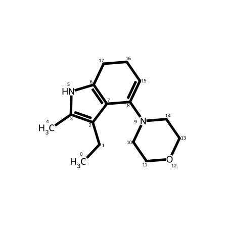 CCc1c(C)[nH]c2c1C(N1CCOCC1)=CCC2